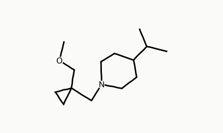 COCC1(CN2CCC(C(C)C)CC2)CC1